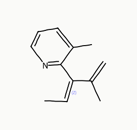 C=C(C)/C(=C/C)c1ncccc1C